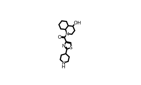 O=C(c1csc(C2CCNCC2)n1)N1CCC(O)C2CCCCC21